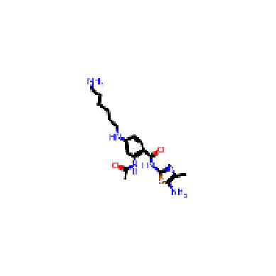 CC(=O)Nc1cc(NCCCCCCN)ccc1C(=O)Nc1nc(C)c(N)s1